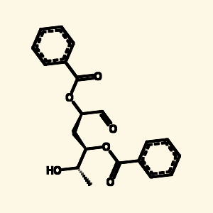 C[C@H](O)[C@@H](C[C@H](C=O)OC(=O)c1ccccc1)OC(=O)c1ccccc1